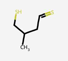 CC(CS)CC=S